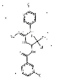 CC(Cl)(Cl)C(NC(=O)c1cccc(Cl)c1)N/C(=N\C#N)Nc1ccc(Cl)nc1